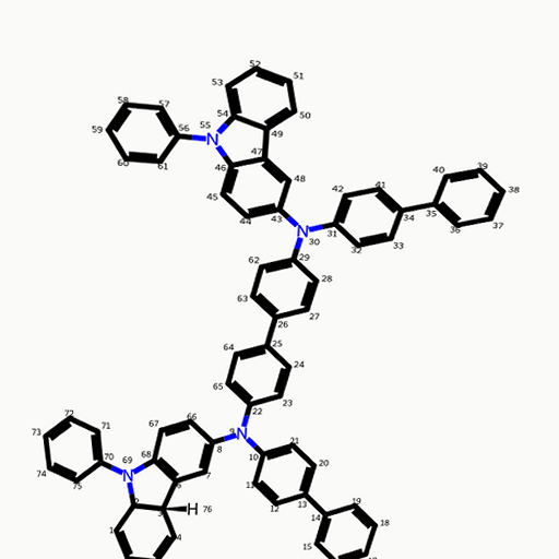 C1=CC2[C@@H](C=C1)c1cc(N(c3ccc(-c4ccccc4)cc3)c3ccc(-c4ccc(N(c5ccc(-c6ccccc6)cc5)c5ccc6c(c5)c5ccccc5n6-c5ccccc5)cc4)cc3)ccc1N2c1ccccc1